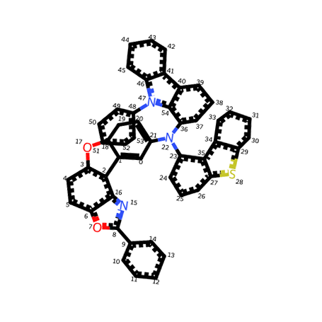 C1=C2c3c(ccc4oc(-c5ccccc5)nc34)OC2CC=C1N(c1cccc2sc3ccccc3c12)c1cccc2c3ccccc3n(-c3ccccc3)c12